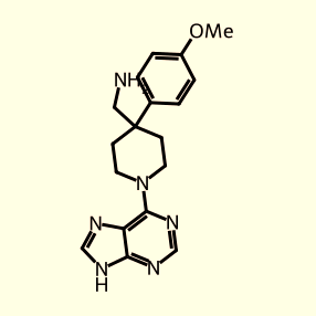 COc1ccc(C2(CN)CCN(c3ncnc4[nH]cnc34)CC2)cc1